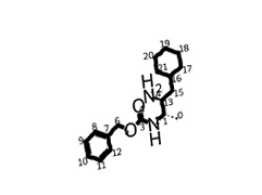 C[C@H](NC(=O)OCc1ccccc1)[C@@H](N)CC1CCCCC1